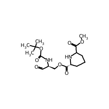 COC(=O)C1CCC[C@H](C(=O)OC[C@@H](C=O)NC(=O)OC(C)(C)C)N1